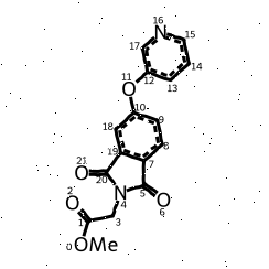 COC(=O)CN1C(=O)c2ccc(Oc3cccnc3)cc2C1=O